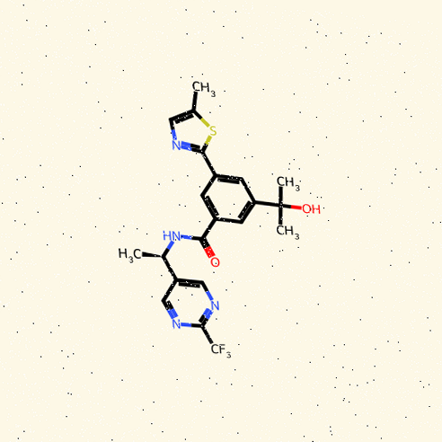 Cc1cnc(-c2cc(C(=O)N[C@H](C)c3cnc(C(F)(F)F)nc3)cc(C(C)(C)O)c2)s1